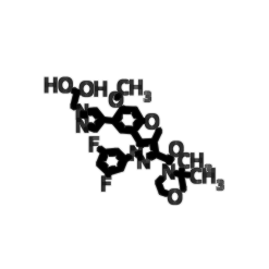 COc1cc2c(cc1-c1cnn(CC(O)O)c1)-c1c(c(C(=O)N3CCOCC3(C)C)nn1-c1cc(F)cc(F)c1)CO2